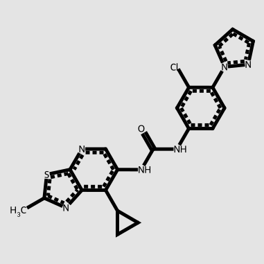 Cc1nc2c(C3CC3)c(NC(=O)Nc3ccc(-n4cccn4)c(Cl)c3)cnc2s1